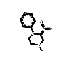 O=S(=O)=C1CN(F)CCN1c1ccccc1